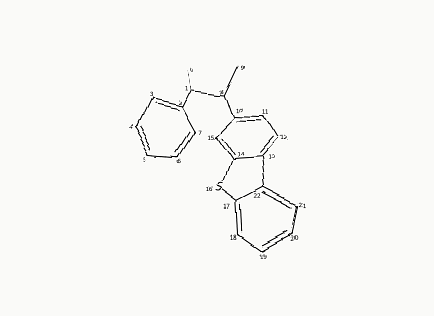 CC(c1ccccc1)C(C)c1ccc2c(c1)sc1ccccc12